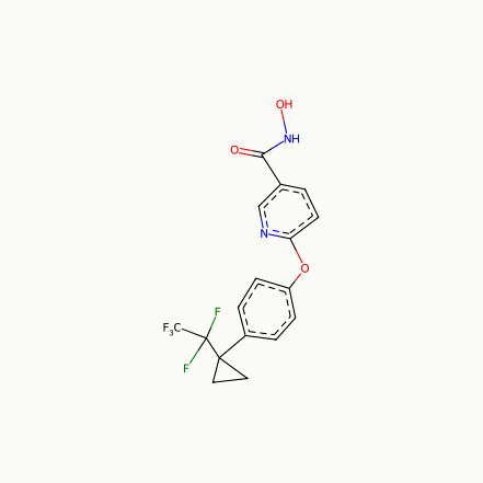 O=C(NO)c1ccc(Oc2ccc(C3(C(F)(F)C(F)(F)F)CC3)cc2)nc1